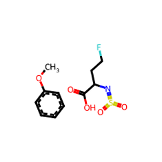 COc1ccccc1.O=C(O)C(CCF)N=S(=O)=O